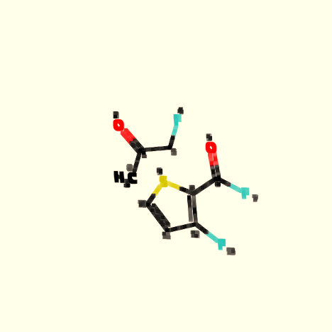 CC(=O)CF.O=C(F)c1sccc1F